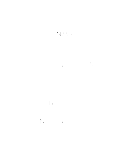 CNC(=O)C1CC(C)CN1C(=O)C1CCN(C(=N)N)CC1